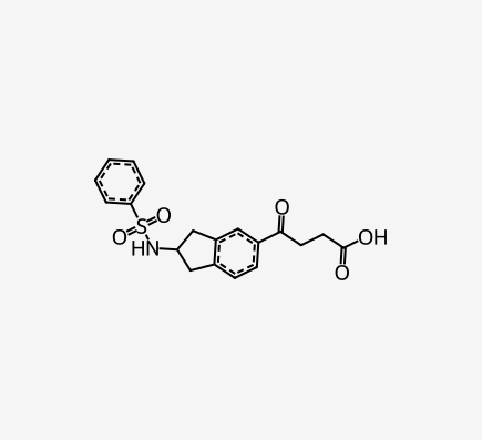 O=C(O)CCC(=O)c1ccc2c(c1)CC(NS(=O)(=O)c1ccccc1)C2